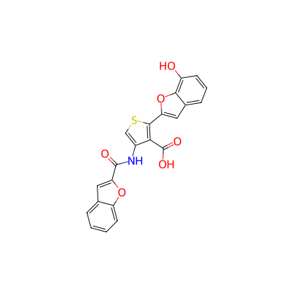 O=C(Nc1csc(-c2cc3cccc(O)c3o2)c1C(=O)O)c1cc2ccccc2o1